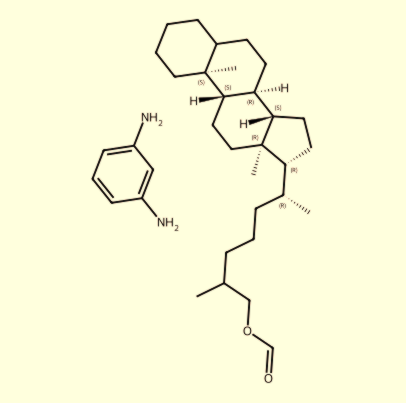 CC(CCC[C@@H](C)[C@H]1CC[C@H]2[C@@H]3CCC4CCCC[C@]4(C)[C@H]3CC[C@]12C)COC=O.Nc1cccc(N)c1